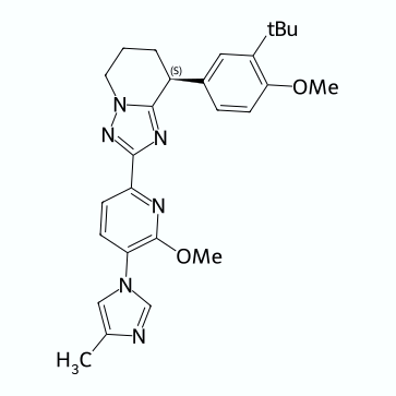 COc1ccc([C@@H]2CCCn3nc(-c4ccc(-n5cnc(C)c5)c(OC)n4)nc32)cc1C(C)(C)C